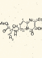 CCc1nc2ccc(NC(C)(C)C(=O)OC)cn2c(=O)c1O